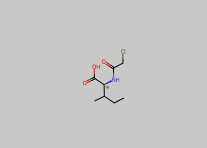 CCC(C)[C@H](NC(=O)CCl)C(=O)O